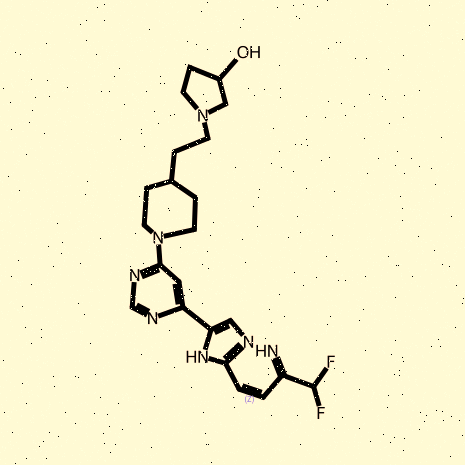 N=C(/C=C\c1ncc(-c2cc(N3CCC(CCN4CCC(O)C4)CC3)ncn2)[nH]1)C(F)F